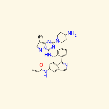 C=CC(=O)Nc1ccc2c(-c3ccccc3CNc3nc(N4CCC(N)CC4)nc4c(C(C)C)cnn34)nccc2c1